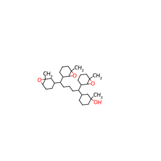 CC1(O)CCCC(C(CCCC(C2CCC3OC3(C)C2)C2CCCC3(C)OC23)C2CCCC3(C)OC23)C1